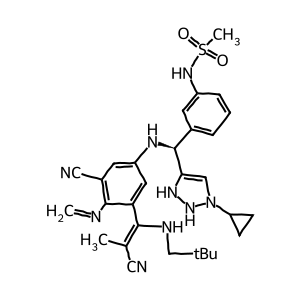 C=Nc1c(C#N)cc(N[C@H](C2=CN(C3CC3)NN2)c2cccc(NS(C)(=O)=O)c2)cc1/C(NCC(C)(C)C)=C(\C)C#N